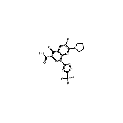 O=C(O)c1cn(-c2nnc(C(F)(F)F)s2)c2nc(N3CCCC3)c(F)cc2c1=O